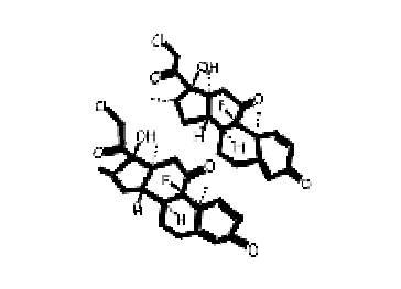 CC1C[C@H]2[C@@H]3CCC4=CC(=O)C=C[C@]4(C)[C@@]3(F)C(=O)C[C@]2(C)[C@@]1(O)C(=O)CCl.C[C@H]1C[C@H]2[C@@H]3CCC4=CC(=O)C=C[C@]4(C)[C@@]3(F)C(=O)C[C@]2(C)[C@@]1(O)C(=O)CCl